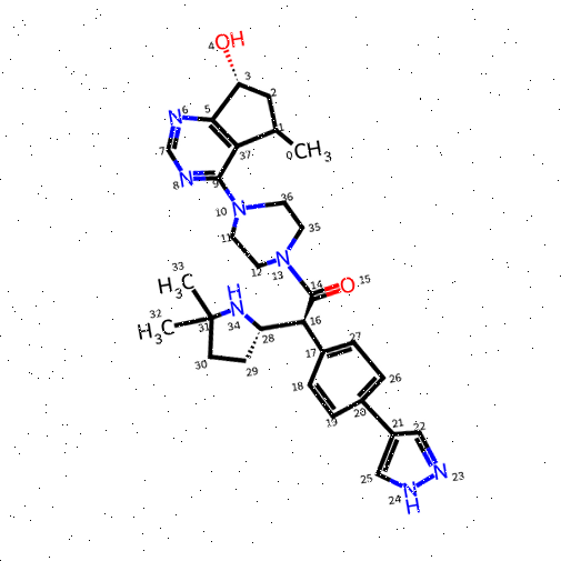 CC1C[C@@H](O)c2ncnc(N3CCN(C(=O)[C@@H](c4ccc(-c5cn[nH]c5)cc4)[C@@H]4CCC(C)(C)N4)CC3)c21